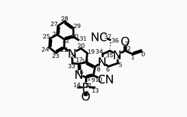 C=CC(=O)N1CCN(c2c(C#N)c(P(C)(C)=O)nc3c2CCN(c2cccc4cccc(C)c24)C3)C[C@@H]1CC#N